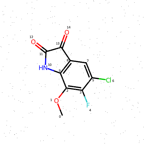 COc1c(F)c(Cl)cc2c1NC(=O)C2=O